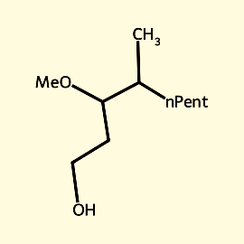 CCCCCC(C)C(CCO)OC